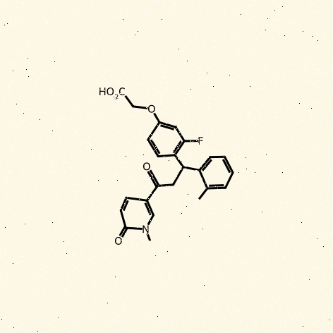 Cc1ccccc1C(CC(=O)c1ccc(=O)n(C)c1)c1ccc(OCC(=O)O)cc1F